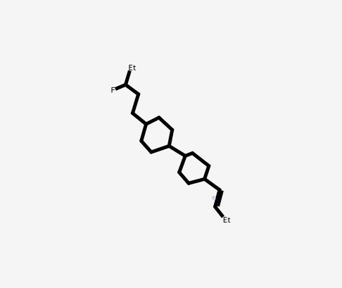 CC/C=C/C1CCC(C2CCC(CCC(F)CC)CC2)CC1